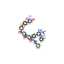 CC(C)n1cnc2cc(-c3ccc4c(c3)N(C3CC(N5CCCCC5)C3)C(=O)C43CCN(C(=O)C4(C)CCN(C(=O)C5CCC(Oc6ccc([C@H]7CCC(=O)NC7=O)cc6)CC5)CC4)CC3)nc(Nc3ccccc3F)c21